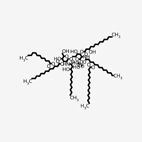 CCCCCCCCCCCCCCCC(=O)OC(CCCCCCCCCCC)CC(=O)NC1C(OP(=O)(O)O)OC(CO[C@@H]2OC(CO)C(O)[C@H](OC(=O)CC(CCCCCCCCCCC)OC(=O)CCCCCCCCCCC)C2NC(=O)CC(O)CCCCCCCCCCC)[C@@H](O)[C@@H]1OC(=O)CC(O)CCCCCCCCCCC